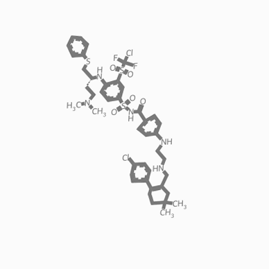 CN(C)CC[C@H](CSc1ccccc1)Nc1ccc(S(=O)(=O)NC(=O)c2ccc(NCCNCC3=C(c4ccc(Cl)cc4)CCC(C)(C)C3)cc2)cc1S(=O)(=O)C(F)(F)Cl